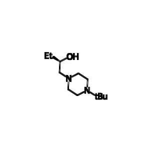 CC[C@@H](O)CN1CCN(C(C)(C)C)CC1